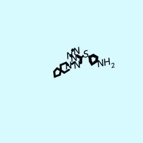 Nc1ccc(Sc2cnc(N3CCC4(CCCC4)CC3)n3ncnc23)cc1